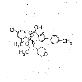 CCOP(=O)(c1ccc(Cl)cc1C)N(CC1CCOCC1)c1cc(-c2ccc(C)cc2)sc1C(=O)O